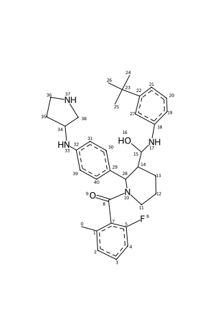 Cc1cccc(F)c1C(=O)N1CCCC(C(O)Nc2cccc(C(C)(C)C)c2)C1c1ccc(NC2CCNC2)cc1